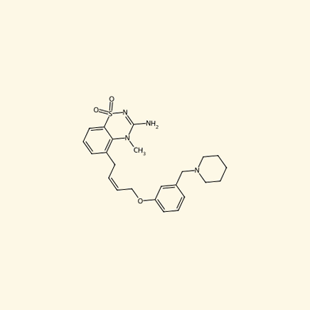 CN1C(N)=NS(=O)(=O)c2cccc(C/C=C\COc3cccc(CN4CCCCC4)c3)c21